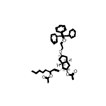 CCCCCC(C=C[C@@H]1[C@@H]2C[C@@H](OCCOC(c3ccccc3)(c3ccccc3)c3ccccc3)C[C@H]2C[C@H]1OC(C)=O)OC(C)=O